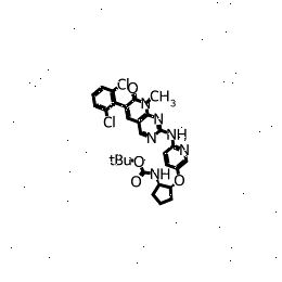 Cn1c(=O)c(-c2c(Cl)cccc2Cl)cc2cnc(Nc3ccc(O[C@H]4CCC[C@H]4NC(=O)OC(C)(C)C)cn3)nc21